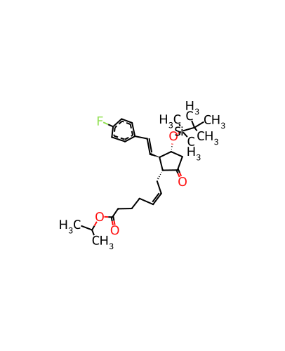 CC(C)OC(=O)CCC/C=C\C[C@H]1C(=O)C[C@@H](O[Si](C)(C)C(C)(C)C)[C@@H]1/C=C/c1ccc(F)cc1